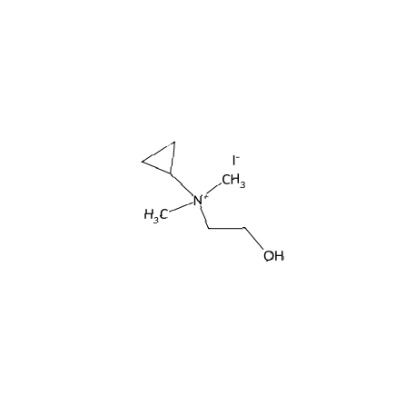 C[N+](C)(CCO)C1CC1.[I-]